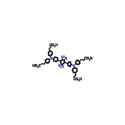 O=C(O)CCc1ccc(N(c2ccc(CCC(=O)O)cc2)c2ccc(-c3c4c(c(-c5ccc(N(c6ccc(CCC(=O)O)cc6)c6ccc(CCC(=O)O)cc6)cc5)c5nsnc35)N=S=N4)cc2)cc1